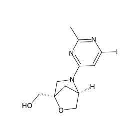 Cc1nc(I)cc(N2C[C@@]3(CO)C[C@@H]2CO3)n1